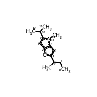 CCC(C)c1cc2c(cc(C(C)C)n2C)o1